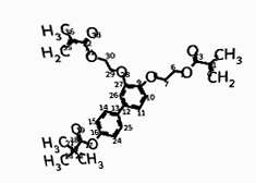 C=C(C)C(=O)OCCOc1ccc(-c2ccc(OC(=O)C(C)(C)C)cc2)cc1OCCOC(=O)C(=C)C